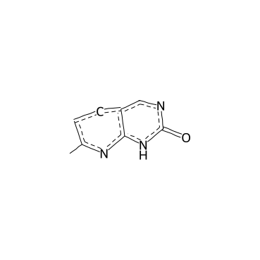 Cc1ccc2cnc(=O)[nH]c2n1